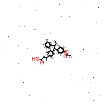 CCC(=C(c1ccc(C=CC(=O)O)cc1)c1ccc(OC(C)=O)cc1)c1ccccc1